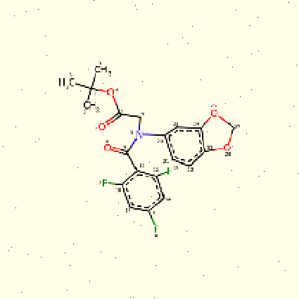 CC(C)(C)OC(=O)CN(C(=O)c1c(F)cc(F)cc1F)c1ccc2c(c1)OCO2